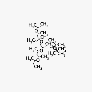 CCC(C)OC(C)CC(C)OC(COC(C)(C)CC(C)OC(C)(C)C)COC(C)(CC)CC(C)OC(C)CC